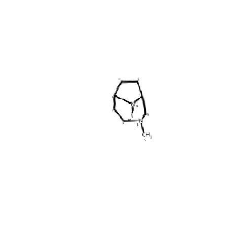 CN1CCC2CCC(C1)N2I